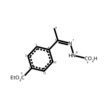 CCOC(=O)c1ccc(/C(C)=N\NC(=O)O)cc1